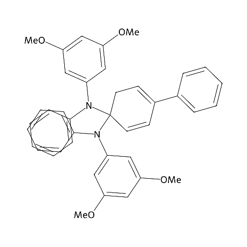 COc1cc(OC)cc(N(c2ccccc2)C2(N(c3ccccc3)c3cc(OC)cc(OC)c3)C=CC(c3ccccc3)=CC2)c1